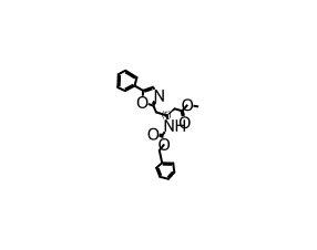 COC(=O)C[C@H](Cc1ncc(-c2ccccc2)o1)NC(=O)OCc1ccccc1